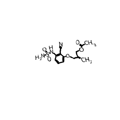 C=C(COC(C)=O)COc1cccc(NS(N)(=O)=O)c1C#N